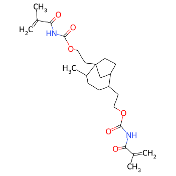 C=C(C)C(=O)NC(=O)OCCC1CCC(C)C2(CCOC(=O)NC(=O)C(=C)C)CCC1C2